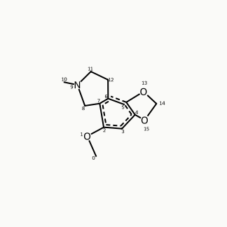 COc1cc2c(c3c1CN(C)CC3)OCO2